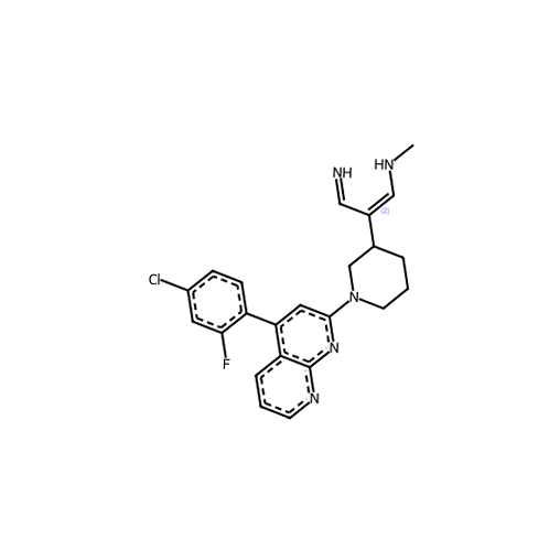 CN/C=C(\C=N)C1CCCN(c2cc(-c3ccc(Cl)cc3F)c3cccnc3n2)C1